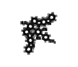 Cc1ccc(-c2c(C#N)c(-n3c4ccccc4c4cc5c(cc43)sc3ccccc35)c(-c3ccc(C)cc3)c(-n3c4ccccc4c4cc5c(cc43)sc3ccccc35)c2C#N)cc1